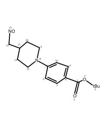 CC(C)(C)OC(=O)c1ccc(N2CCC(CN=O)CC2)cc1